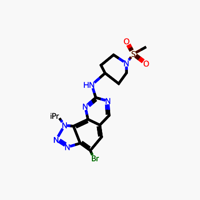 CC(C)n1nnc2c(Br)cc3cnc(NC4CCN(S(C)(=O)=O)CC4)nc3c21